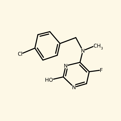 CN(Cc1ccc(Cl)cc1)c1nc(O)ncc1F